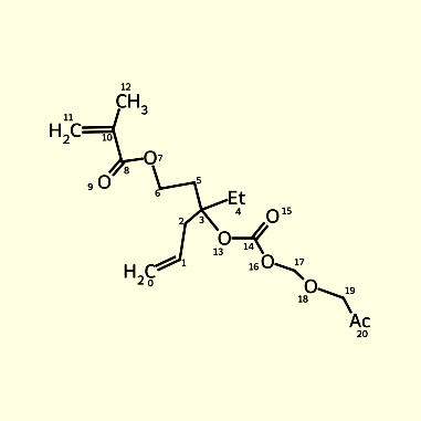 C=CCC(CC)(CCOC(=O)C(=C)C)OC(=O)OCOCC(C)=O